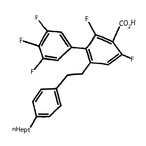 CCCCCCCc1ccc(CCc2cc(F)c(C(=O)O)c(F)c2-c2cc(F)c(F)c(F)c2)cc1